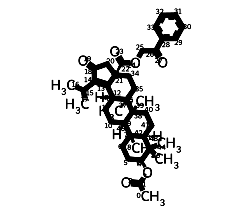 CC(=O)O[C@H]1CC[C@]2(C)[C@H]3CC[C@@H]4C5=C(C(C)C)C(=O)C[C@]5(C(=O)OCC(=O)c5ccccc5)CC[C@@]4(C)[C@]3(C)CC[C@H]2C1(C)C